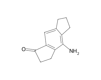 Nc1c2c(cc3c1CCC3=O)CCC2